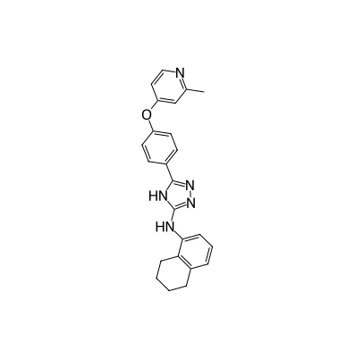 Cc1cc(Oc2ccc(-c3nnc(Nc4cccc5c4CCCC5)[nH]3)cc2)ccn1